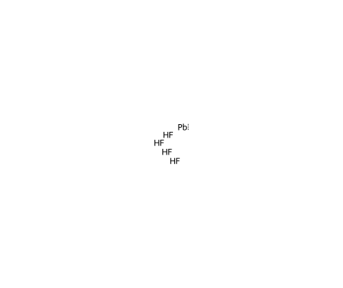 F.F.F.F.[Pb]